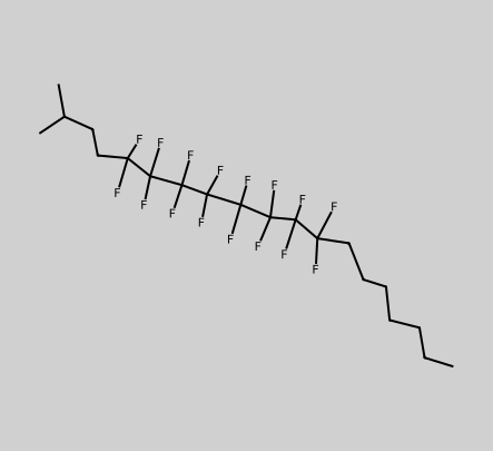 CCCCCCCC(F)(F)C(F)(F)C(F)(F)C(F)(F)C(F)(F)C(F)(F)C(F)(F)C(F)(F)CCC(C)C